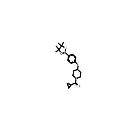 CC1(C)OB(c2ccc(OC3CCN(C(=O)C4CC4)CC3)cc2)OC1(C)C